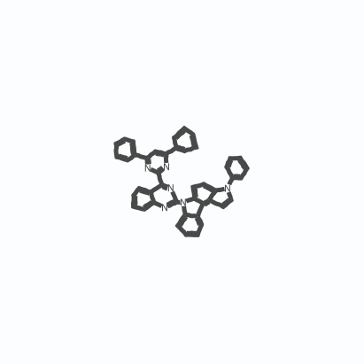 c1ccc(-c2cc(-c3ccccc3)nc(-c3nc(-n4c5ccccc5c5c6ccn(-c7ccccc7)c6ccc54)nc4ccccc34)n2)cc1